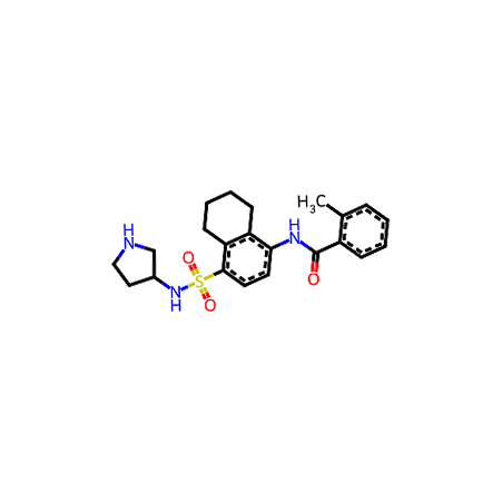 Cc1ccccc1C(=O)Nc1ccc(S(=O)(=O)NC2CCNC2)c2c1CCCC2